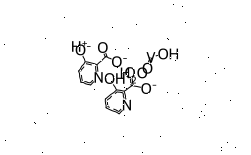 O.O=C([O-])c1ncccc1O.O=C([O-])c1ncccc1[O-].[H+].[O]=[V][OH]